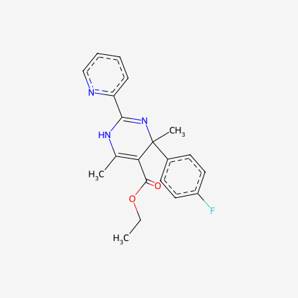 CCOC(=O)C1=C(C)NC(c2ccccn2)=NC1(C)c1ccc(F)cc1